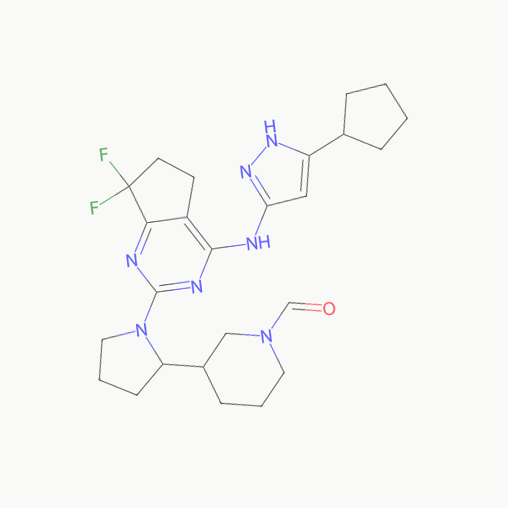 O=CN1CCCC(C2CCCN2c2nc(Nc3cc(C4CCCC4)[nH]n3)c3c(n2)C(F)(F)CC3)C1